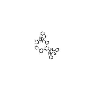 c1ccc(-c2nc(-c3cccc(-c4cccc(-c5cccc(-c6cccc(-c7nc(-c8ccccc8)c8sc9ccccc9c8n7)c6)c5)c4)c3)nc3c2ccc2ccccc23)cc1